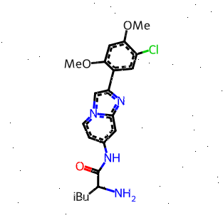 CCC(C)C(N)C(=O)Nc1ccn2cc(-c3cc(Cl)c(OC)cc3OC)nc2c1